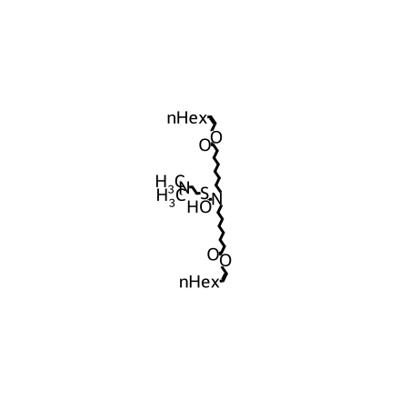 CCCCCC/C=C\COC(=O)CCCCCCCN(CCCCCCCC(=O)OC/C=C\CCCCCC)C(O)SCCN(C)C